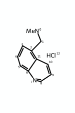 CNCc1cccc2ncccc12.Cl